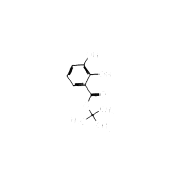 CC(C)(C)OC(=O)c1cccc(O)c1O